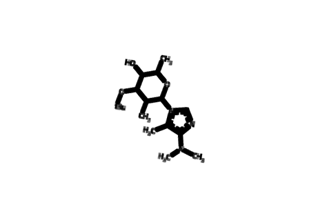 Cc1c(N(C)C)ncn1C1OC(C)C(O)C(OC(C)(C)C)C1C